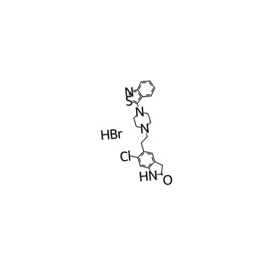 Br.O=C1Cc2cc(CCN3CCN(c4snc5ccccc45)CC3)c(Cl)cc2N1